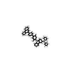 Cc1cc(-n2c3ccccc3c3cc(N(c4ccccc4)c4ccccc4)ccc32)c(C)cc1-c1ccc(-c2cc3cccnc3c3ncccc23)cc1